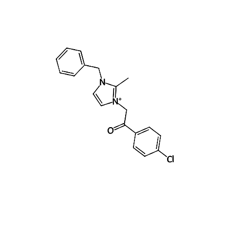 Cc1n(Cc2ccccc2)cc[n+]1CC(=O)c1ccc(Cl)cc1